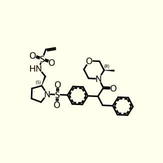 C=CS(=O)(=O)NC[C@@H]1CCCN1S(=O)(=O)c1ccc(C(Cc2ccccc2)C(=O)N2CCOC[C@H]2C)cc1